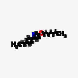 CCCCCCCOc1ccc(-c2ccc(CCC)cc2)nc1